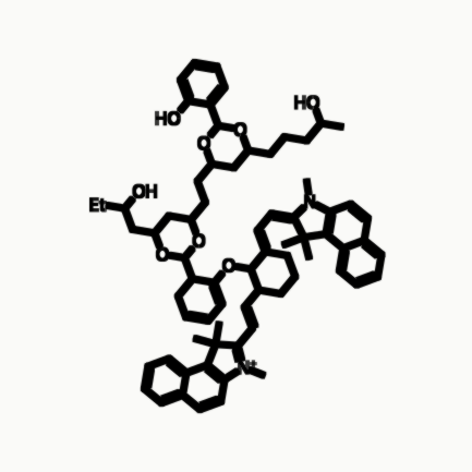 CCC(O)CC1CC(CCC2CC(CCCC(C)O)OC(c3ccccc3O)O2)OC(C2CC=CC=C2OC2/C(=C/C=C3/N(C)c4ccc5ccccc5c4C3(C)C)CCCC2/C=C/C2=[N+](C)c3ccc4ccccc4c3C2(C)C)O1